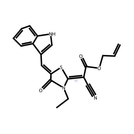 C=CCOC(=O)/C(C#N)=c1\sc(=Cc2c[nH]c3ccccc23)c(=O)n1CC